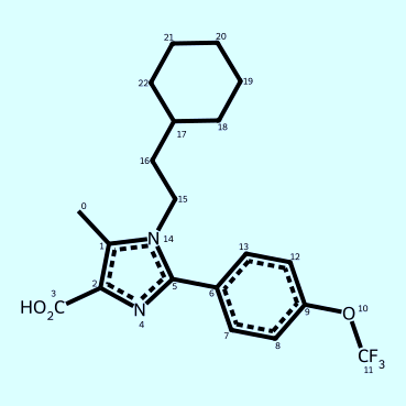 Cc1c(C(=O)O)nc(-c2ccc(OC(F)(F)F)cc2)n1CCC1CCCCC1